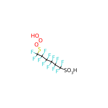 O=S(=O)(O)C(F)(F)C(F)(F)C(F)(F)C(F)(F)C(F)(F)C(F)(F)SOOO